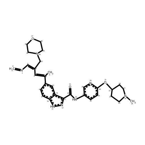 C=N/C=C(\C=C(/C)c1ccc2[nH]nc(C(=O)Nc3ccc(OC4CCN(C)CC4)nc3)c2c1)CN1CCOCC1